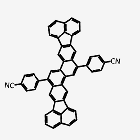 N#Cc1ccc(-c2cc3c4cc5c(cc4c(-c4ccc(C#N)cc4)cc3c3cc4c(cc23)-c2cccc3cccc-4c23)-c2cccc3cccc-5c23)cc1